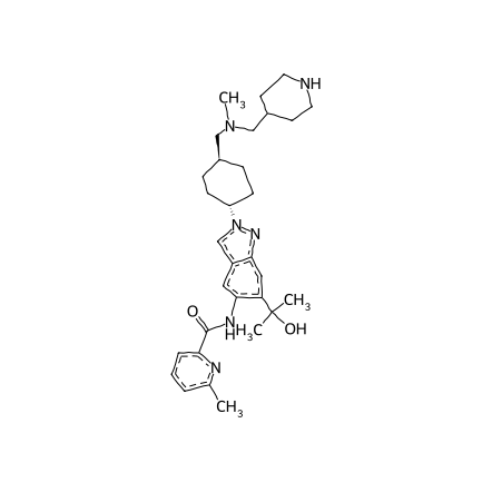 Cc1cccc(C(=O)Nc2cc3cn([C@H]4CC[C@H](CN(C)CC5CCNCC5)CC4)nc3cc2C(C)(C)O)n1